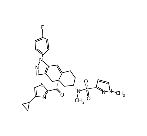 CN([C@H]1CCC2=Cc3c(cnn3-c3ccc(F)cc3)C[C@]2(C(=O)c2nc(C3CC3)cs2)C1)S(=O)(=O)c1ccn(C)n1